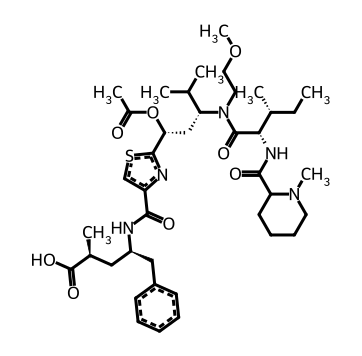 CC[C@@H](C)[C@H](NC(=O)C1CCCCN1C)C(=O)N(CCOC)[C@H](C[C@@H](OC(C)=O)c1nc(C(=O)N[C@@H](Cc2ccccc2)C[C@H](C)C(=O)O)cs1)C(C)C